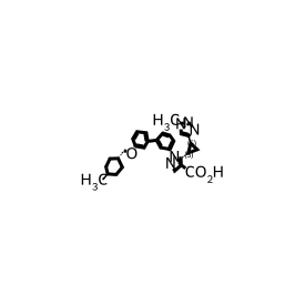 Cn1cc([C@H]2C[C@@H]2c2c(C(=O)O)cnn2-c2cccc(-c3cccc(OC[C@H]4CC[C@H](C)CC4)c3)c2)nn1